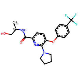 C[C@H](CO)NC(=O)c1ccc(Oc2ccc(C(F)(F)F)cc2)c(N2CCCC2)n1